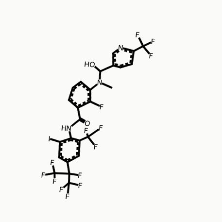 CN(c1cccc(C(=O)Nc2c(I)cc(C(F)(C(F)(F)F)C(F)(F)F)cc2C(F)(F)F)c1F)C(O)c1ccc(C(F)(F)F)nc1